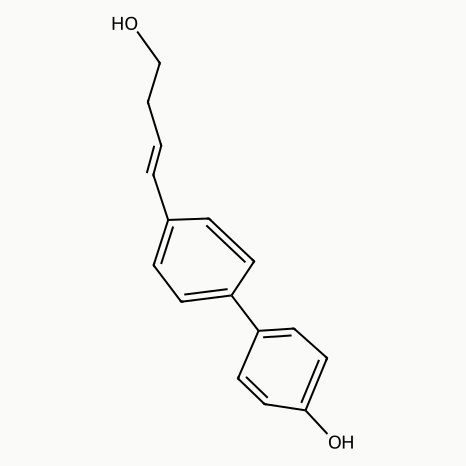 OCC/C=C/c1ccc(-c2ccc(O)cc2)cc1